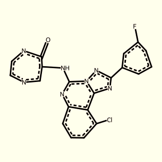 O=c1nccncc1Nc1nc2cccc(Cl)c2c2nc(-c3cccc(F)c3)nn12